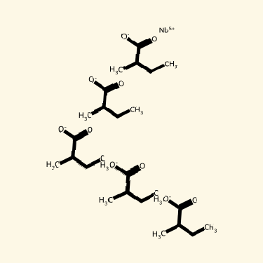 CCC(C)C(=O)[O-].CCC(C)C(=O)[O-].CCC(C)C(=O)[O-].CCC(C)C(=O)[O-].CCC(C)C(=O)[O-].[Nb+5]